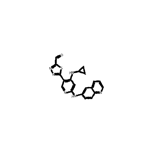 O=Cc1nnc(-c2cnc(Nc3ccc4ncccc4c3)cc2NC2CC2)s1